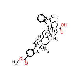 C=C(C)[C@@]1(Cc2ccccc2)CC[C@@]2(C(=O)O)CC[C@]3(C)[C@H](CC[C@@H]4[C@@]5(C)CC=C(c6ccc(C(=O)OC)cc6)C(C)(C)[C@@H]5CC[C@]43C)[C@H]12